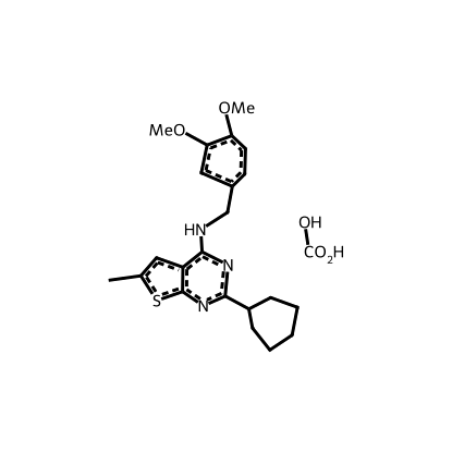 COc1ccc(CNc2nc(C3CCCCC3)nc3sc(C)cc23)cc1OC.O=C(O)O